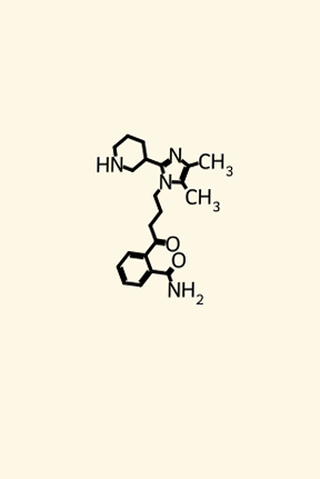 Cc1nc(C2CCCNC2)n(CCCC(=O)c2ccccc2C(N)=O)c1C